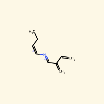 C=CC(=C)/C=N/C=C\CC